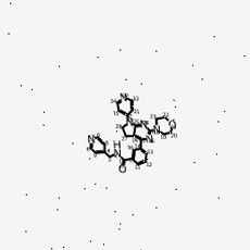 O=C(NCc1ccncc1)c1cccc(-c2nc(N3CCOCC3)nc3c2CCN3c2ccncc2)c1